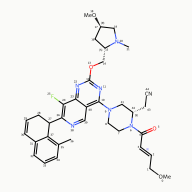 COC/C=C/C(=O)N1CCN(c2nc(OC[C@@H]3C[C@@H](OC)CN3C)nc3c(F)c(C4CC=Cc5cccc(C)c54)ncc23)C[C@@H]1CC#N